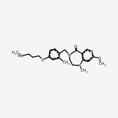 CNCCCOc1ccc(CN2CCN(C)c3cc(OC)ncc3C2=O)c(C)c1